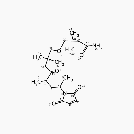 CC(CC(C)N1C(=O)C=CC1=O)C(=O)CC(C)(C)COCC(C)(C)CC(N)=O